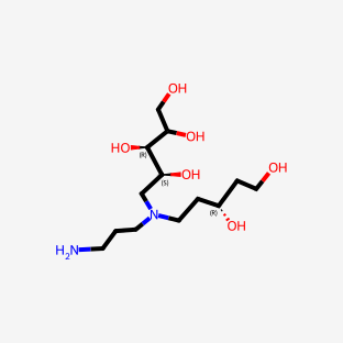 NCCCN(CC[C@@H](O)CCO)C[C@H](O)[C@@H](O)C(O)CO